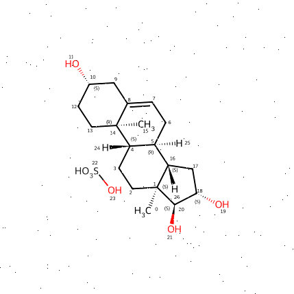 C[C@]12CC[C@H]3[C@@H](CC=C4C[C@@H](O)CC[C@@]43C)[C@@H]1C[C@H](O)[C@H]2O.O=S(=O)(O)O